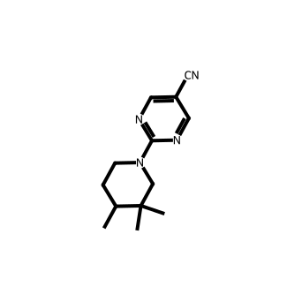 CC1CCN(c2ncc(C#N)cn2)CC1(C)C